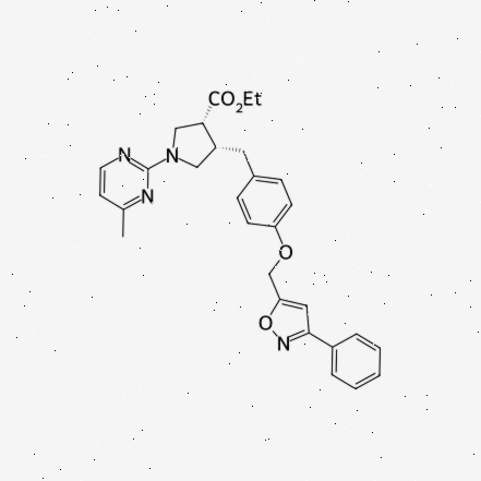 CCOC(=O)[C@H]1CN(c2nccc(C)n2)C[C@H]1Cc1ccc(OCc2cc(-c3ccccc3)no2)cc1